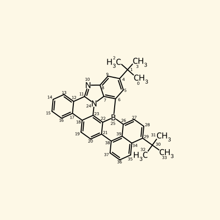 CC(C)(C)c1cc2c3c(c1)nc1c4ccccc4c4ccc5c(c4n13)B2c1ccc(C(C)(C)C)c2cccc-5c12